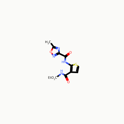 CCOC(=O)NC(=O)c1ccsc1NC(=O)c1noc(C)n1